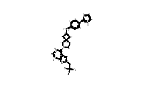 FC(F)(F)Cc1cc2c(N3CCC4(CC(Nc5ccc(-c6ncc[nH]6)cc5)C4)C3)ncnc2s1